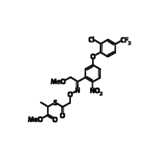 COCC(=NOCC(=O)SC(C)C(=O)OC)c1cc(Oc2ccc(C(F)(F)F)cc2Cl)ccc1[N+](=O)[O-]